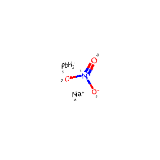 O=[N+]([O-])[O-].[Na+].[PbH2]